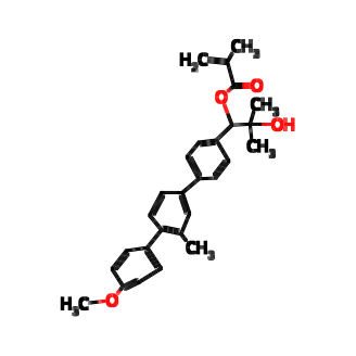 C=C(C)C(=O)OC(c1ccc(-c2ccc(-c3ccc(OC)cc3)c(C)c2)cc1)C(C)(C)O